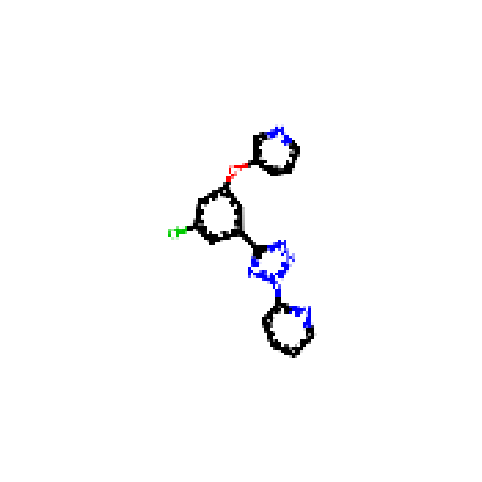 Clc1cc(Oc2cccnc2)cc(-c2nnn(-c3ccccn3)n2)c1